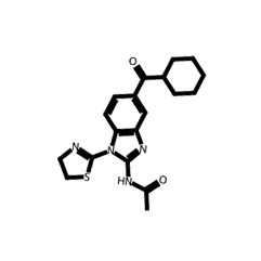 CC(=O)Nc1nc2cc(C(=O)C3CCCCC3)ccc2n1C1=NCCS1